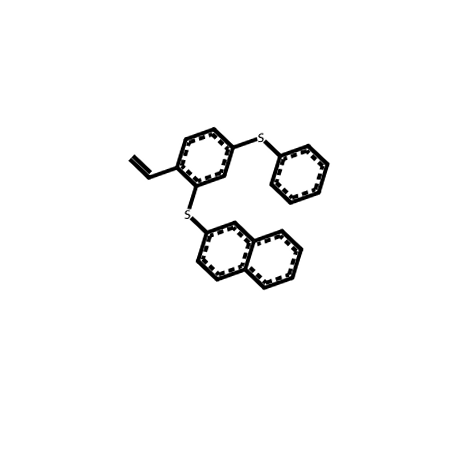 C=Cc1ccc(Sc2ccccc2)cc1Sc1ccc2ccccc2c1